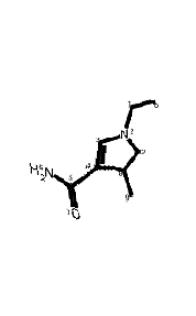 CCN1C=C(C(N)=O)C(C)C1